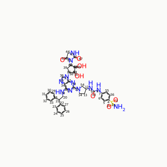 NS(=O)(=O)c1ccc(NC(=O)NC2CCN(c3nc(NCC(c4ccccc4)c4ccccc4)c4ncn([C@@H]5C[C@H](N6C(=O)CNC6=O)[C@@H](O)[C@H]5O)c4n3)C2)cc1